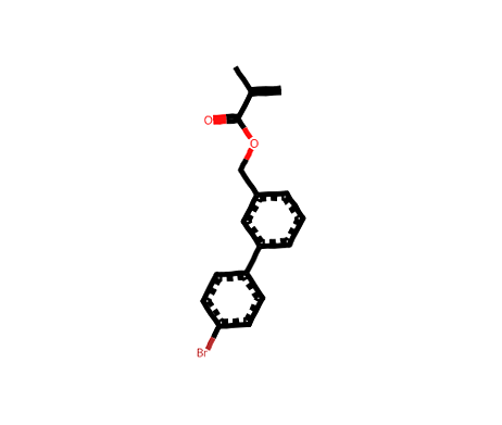 C=C(C)C(=O)OCc1cccc(-c2ccc(Br)cc2)c1